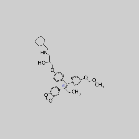 CC/C(=C(\c1ccc(OCOC)cc1)c1ccc(OCC(O)CNCC2CCCCC2)cc1)c1ccc2c(c1)OCO2